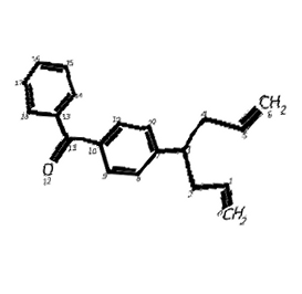 C=CCC(CC=C)c1ccc(C(=O)c2ccccc2)cc1